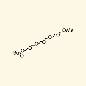 CCC(C)C(=O)OCCOCCOCCOCCOCCOCCOC